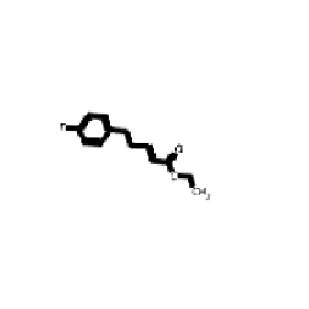 CCOC(=O)/C=C/CCc1ccc(F)cc1